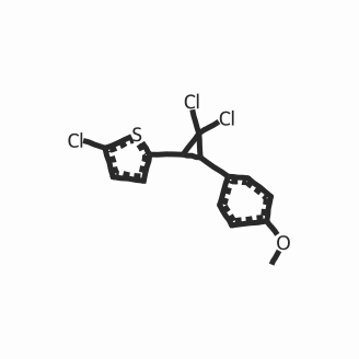 COc1ccc(C2C(c3ccc(Cl)s3)C2(Cl)Cl)cc1